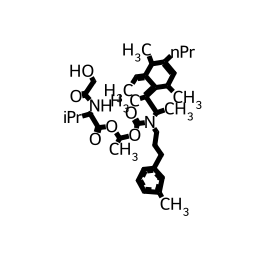 C/C=C1\C(=C(/C)C(C)N(CCCc2cccc(C)c2)C(=O)OC(C)OC(=O)C(NC(=O)CO)C(C)C)C(C)C=C(CCC)C1C